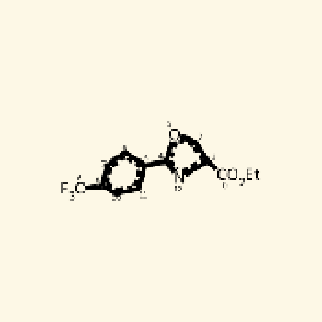 CCOC(=O)c1coc(-c2ccc(C(F)(F)F)cc2)n1